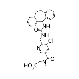 CN(CC(=O)O)C(=O)c1cnc(CNC(=O)NC2c3ccccc3CCc3ccccc32)c(Cl)c1